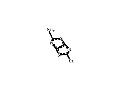 CCc1nc2sc(N)nc2s1